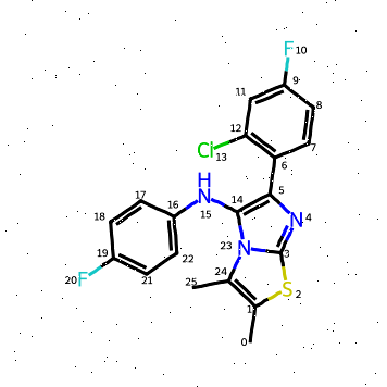 Cc1sc2nc(-c3ccc(F)cc3Cl)c(Nc3ccc(F)cc3)n2c1C